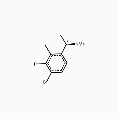 CN[C@H](C)c1ccc(Br)c(F)c1C